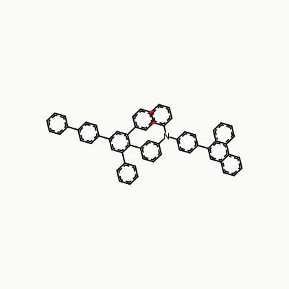 c1ccc(-c2ccc(-c3cc(-c4ccccc4)c(-c4cccc(N(c5ccccc5)c5ccc(-c6cc7ccccc7c7ccccc67)cc5)c4)c(-c4ccccc4)c3)cc2)cc1